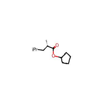 CC(C)C[C@H](C)C(=O)OC1CCCC1